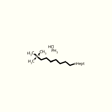 CCCCCCCCCCCCCC[N+](C)(C)C.Cl.P